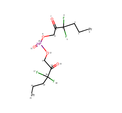 CC(C)CCC(F)(F)C(=O)CO[PH](=O)OCC(=O)C(F)(F)CCC(C)C